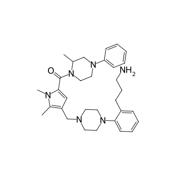 Cc1c(CN2CCN(c3ccccc3CCCN)CC2)cc(C(=O)N2CCN(c3ccccc3)CC2C)n1C